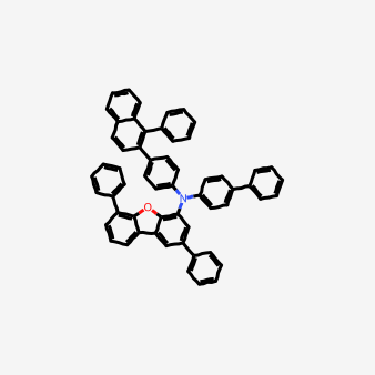 c1ccc(-c2ccc(N(c3ccc(-c4ccc5ccccc5c4-c4ccccc4)cc3)c3cc(-c4ccccc4)cc4c3oc3c(-c5ccccc5)cccc34)cc2)cc1